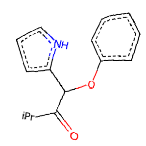 CC(C)C(=O)C(Oc1ccccc1)c1ccc[nH]1